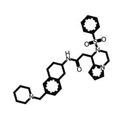 O=C(CC1c2cccn2CCN1S(=O)(=O)c1ccccc1)NC1CCc2cc(CN3CCCCC3)ccc2C1